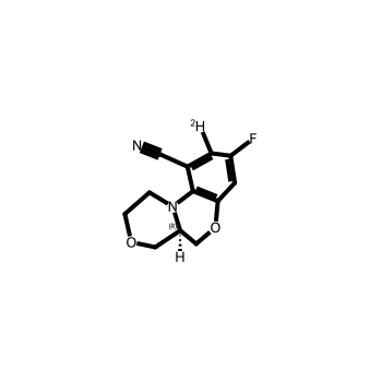 [2H]c1c(F)cc2c(c1C#N)N1CCOC[C@@H]1CO2